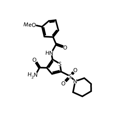 COc1cccc(C(=O)Nc2sc(S(=O)(=O)N3CCCCC3)cc2C(N)=O)c1